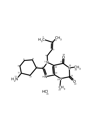 CC(C)=CCn1c(C2CCCC(N)C2)nc2c1c(=O)n(C)c(=O)n2C.Cl